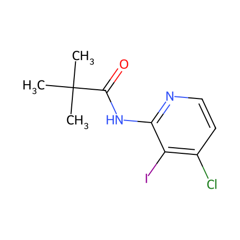 CC(C)(C)C(=O)Nc1nccc(Cl)c1I